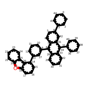 c1ccc(-c2ccc3c(-c4cccc(-c5cccc6oc7ccccc7c56)c4)c4ccccc4c(-c4ccccc4)c3c2)cc1